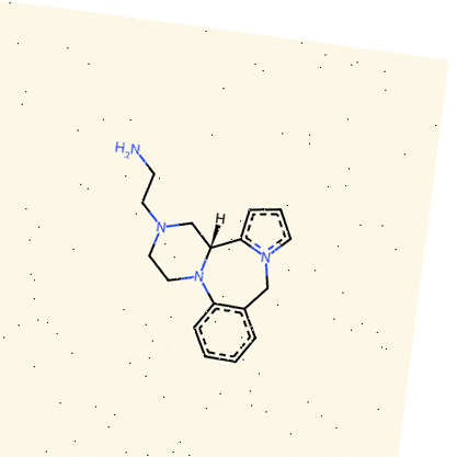 NCCN1CCN2c3ccccc3Cn3cccc3[C@H]2C1